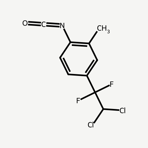 Cc1cc(C(F)(F)C(Cl)Cl)ccc1N=C=O